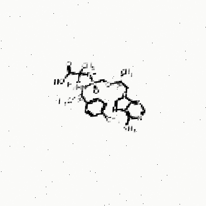 Cc1ccc([C@H](C)NP(=O)(CO[C@H](C)Cn2cnc3c(N)ncnc32)NC(C)(C)C(=O)O)cc1